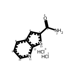 Cl.Cl.NC(=O)c1cc2cccnc2s1